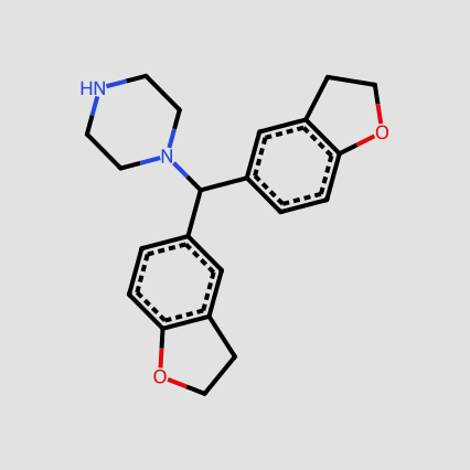 c1cc2c(cc1C(c1ccc3c(c1)CCO3)N1CCNCC1)CCO2